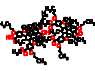 CCCCOc1cc(OC)c(-c2c(C)c(-c3cc(C(=O)OC)c(OCCCC)cc3OC)c(C)c(-c3c(C)c(C(=O)O)c(OCCCC)c(C)c3OC)c2C)cc1C(=O)O.CCCCOc1cc(OC)c(-c2c(C)c(-c3cc(C(=O)OC)c(OCCCC)cc3OC)c(C)c(-c3cc(C(=O)OC)c(OCCCC)cc3OC)c2C)cc1C(=O)OC